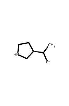 CCC(C)[C@@H]1CCNC1